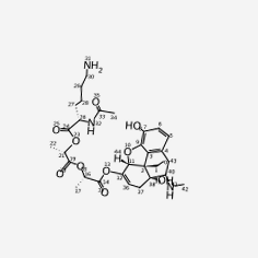 CC[C@]12c3c4ccc(O)c3O[C@H]1C(OC(=O)[C@H](C)OC(=O)[C@H](C)OC(=O)[C@H](CCCCN)NC(C)=O)=CC[C@@]2(O)[C@H](NC)C4